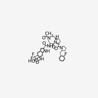 CC(=O)N1CC[C@H]2CC[C@@H](C(=O)N3CCCC3Cc3ccccc3F)N2C(=O)C(NC(=O)c2cc3cc(C(F)(F)P(=O)(O)O)ccc3[nH]2)C1